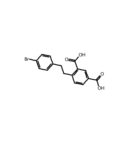 O=C(O)c1ccc(CCc2ccc(Br)cc2)c(C(=O)O)c1